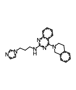 c1ccc2c(c1)CCN(c1nc(NCCCn3ccnc3)nc3ccccc13)C2